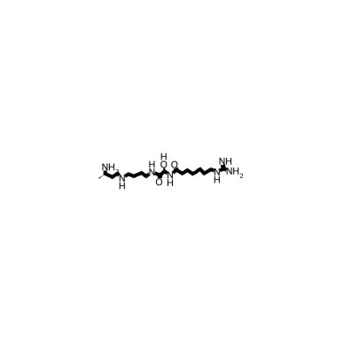 C[C@H](N)CCNCCCCNC(=O)[C@@H](O)NC(=O)CCCCCCNC(=N)N